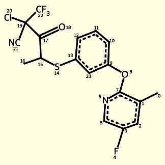 Cc1cc(F)cnc1Oc1cccc(SC(C)C(=O)C(Cl)(C#N)C(F)(F)F)c1